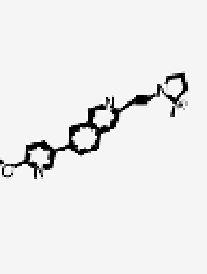 COc1ccc(-c2ccc3cc(C#CN4CCC[C@H]4C)ncc3c2)cn1